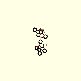 C=C/C=C(\C1=C(C)c2ccccc2C12c1ccccc1-c1ccccc12)c1ccc(N(c2ccc3c(c2)C(C)(C)c2ccccc2-3)c2ccccc2-c2ccccc2)cc1